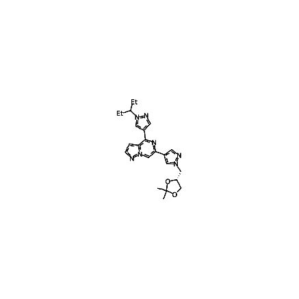 CCC(CC)n1cc(-c2nc(-c3cnn(C[C@@H]4COC(C)(C)O4)c3)cn3nccc23)cn1